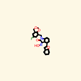 O=C1/C(=N\O)c2c(-c3cc4ccccc4o3)cccc2N1Cc1cc(F)cc2c1OCOC2